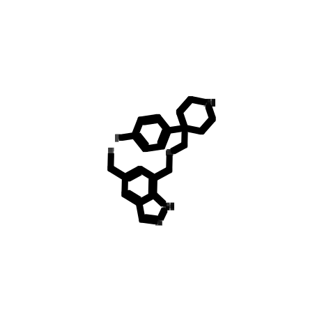 FCc1cc(COCC2(c3ccc(F)cc3)CCNCC2)c2[nH]ncc2c1